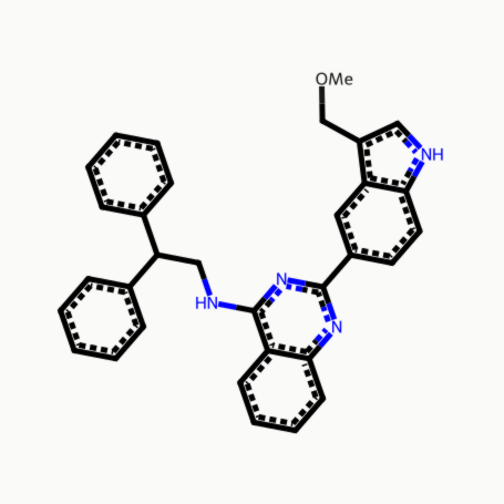 COCc1c[nH]c2ccc(-c3nc(NCC(c4ccccc4)c4ccccc4)c4ccccc4n3)cc12